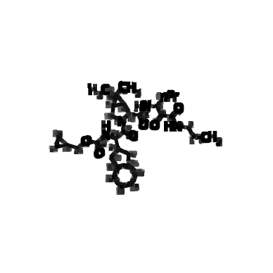 C=CCNC(=O)C(=O)C(CCC)NC(=O)C1C2C(CN1C(=O)C(NC(=O)OCC1CC1)C1Cc3ccccc3C1)C2(C)C